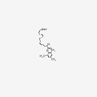 CCCCC/C=C\C/C=C\C/C=C\C/C=C\CCC(CC)C(=O)Oc1c(C)cc(C)cc1C